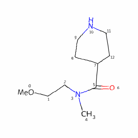 COCCN(C)C(=O)C1CCNCC1